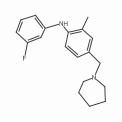 Cc1cc(CN2CCCCC2)ccc1Nc1cccc(F)c1